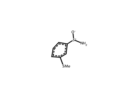 CSc1cccc([S+](N)[O-])c1